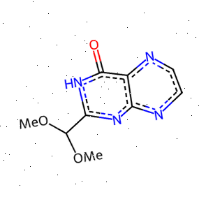 COC(OC)c1nc2nccnc2c(=O)[nH]1